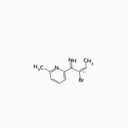 C/C=C(/Br)C(=N)c1cccc(C)n1